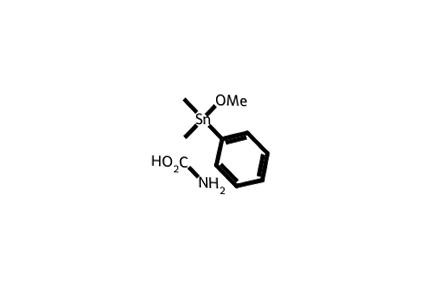 C[O][Sn]([CH3])([CH3])[c]1ccccc1.NC(=O)O